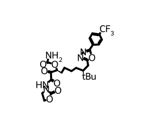 CC(C)(C)[C@H](CCCC[C@H](OC(N)=O)C(=O)C(=O)NN1CCOC1=O)Cc1nnc(-c2ccc(C(F)(F)F)cc2)o1